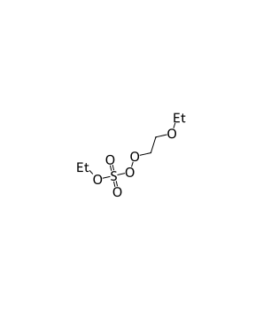 CCOCCOOS(=O)(=O)OCC